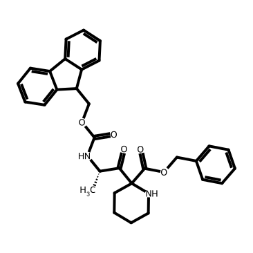 C[C@H](NC(=O)OCC1c2ccccc2-c2ccccc21)C(=O)C1(C(=O)OCc2ccccc2)CCCCN1